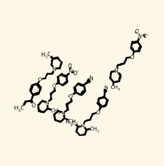 CC1CCCC(C)N1CCCOc1ccc(C#N)cc1.CC1CCCCN1CCCOc1ccc(C#N)cc1.CC1CCCCN1CCCOc1ccc([N+](=O)[O-])cc1.CC1CCN(CCCOc2ccc([N+](=O)[O-])cc2)CC1.CCC(=O)c1ccc(OCCCN2CCCC(C)C2)cc1